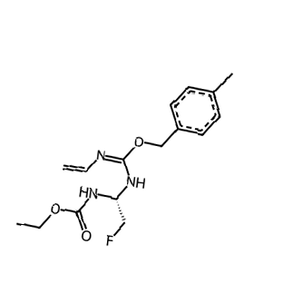 C=C/N=C(\N[C@H](CF)NC(=O)OCC)OCc1ccc(C)cc1